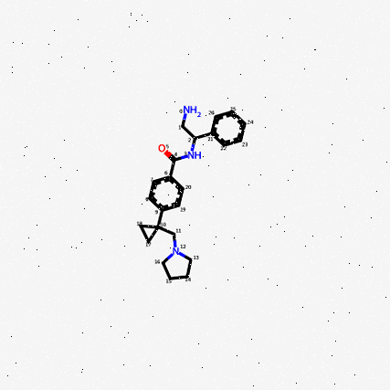 NCC(NC(=O)c1ccc(C2(CN3CCCC3)CC2)cc1)c1ccccc1